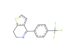 FC(F)(F)c1ccc(C2=NCCc3sccc32)cc1